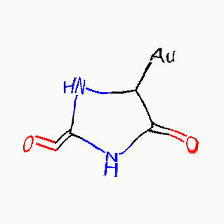 O=C1NC(=O)[CH]([Au])N1